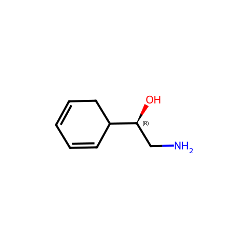 NC[C@H](O)C1C=CC=CC1